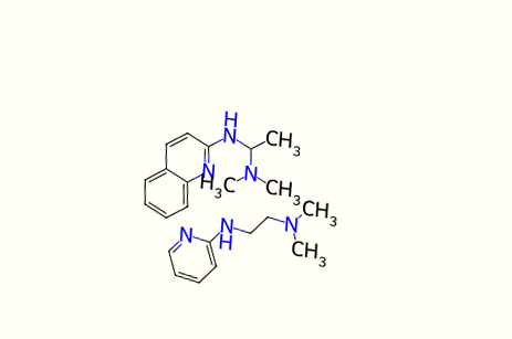 CC(Nc1ccc2ccccc2n1)N(C)C.CN(C)CCNc1ccccn1